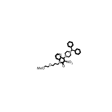 COCCOCCCn1c(=O)c([N+](=O)[O-])c(N2CCN(C(c3ccccc3)c3ccccc3)CC2)c2ncccc21